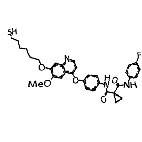 COc1cc2c(Oc3ccc(NC(=O)C4(C(=O)Nc5ccc(F)cc5)CC4)cc3)ccnc2cc1OCCCCCCS